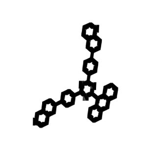 c1cnc2ccc(-c3ccc(-c4nc(-c5ccc(-c6ccc7cnccc7c6)cc5)nc(-c5c6ccccc6cc6ccccc56)n4)cc3)cc2c1